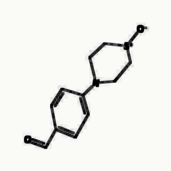 O=Cc1ccc(N2CC[S+]([O-])CC2)cc1